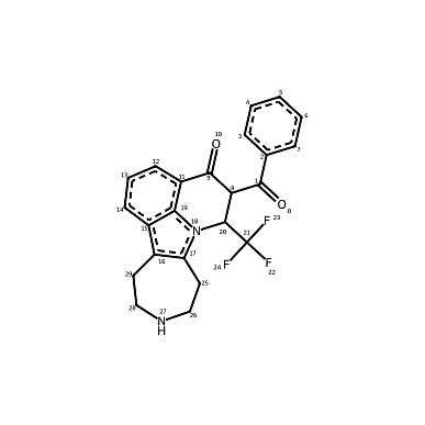 O=C(c1ccccc1)C1C(=O)c2cccc3c4c(n(c23)C1C(F)(F)F)CCNCC4